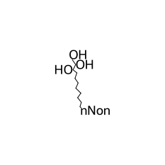 CCCCCCCCCCCCCCCCCC(O)C(O)CO